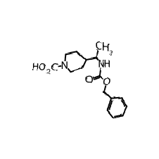 C[C@@H](NC(=O)OCc1ccccc1)C1CCN(C(=O)O)CC1